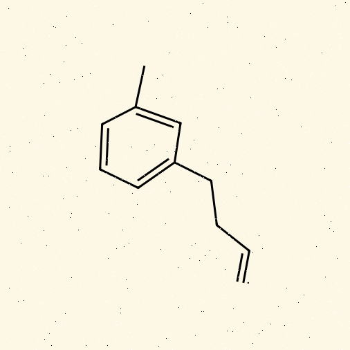 [CH]=CCCc1cccc(C)c1